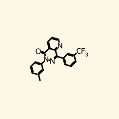 Cc1cccc(-n2nc(-c3cccc(C(F)(F)F)c3)c3ncccc3c2=O)c1